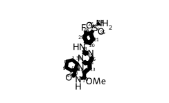 COC1NC(=O)C2(CCCCC2)n2c1cc1cnc(Nc3ccc(S(N)(=O)=O)c(F)c3)nc12